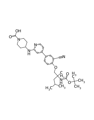 CC(C)CC(C)(COc1ccc(-c2ccnc(NC3CCN(C(=O)O)CC3)c2)cc1C#N)NC(=O)OC(C)(C)C